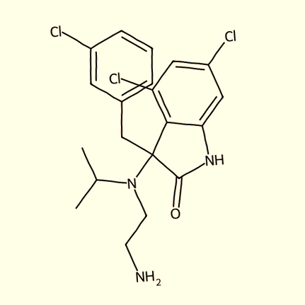 CC(C)N(CCN)C1(Cc2cccc(Cl)c2)C(=O)Nc2cc(Cl)cc(Cl)c21